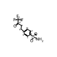 NS(=O)(=O)c1ccc(CCC(=O)C(F)(F)F)cc1